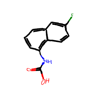 O=C(O)Nc1cccc2cc(F)ccc12